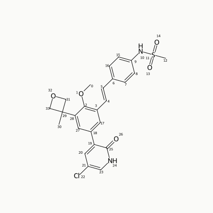 COc1c(/C=C/c2ccc(NS(C)(=O)=O)cc2)cc(-c2cc(Cl)c[nH]c2=O)cc1C1(C)COC1